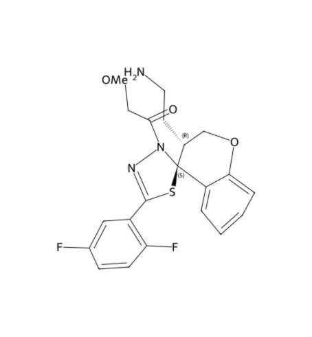 COCC(=O)N1N=C(c2cc(F)ccc2F)S[C@@]12c1ccccc1OC[C@H]2CCN